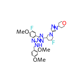 COc1ccc(CNc2nc3cc(OC)c(F)cc3c3nc(C4CC(F)CN(c5cnn(C6CCOCC6)c5)C4)nn23)c(OC)c1